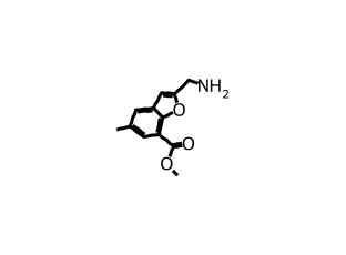 COC(=O)c1cc(C)cc2cc(CN)oc12